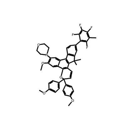 COc1ccc(C2(c3ccc(OC)cc3)C=Cc3c4c(c5cc(N6CCOCC6)c(OC)cc5c3O2)-c2ccc(-c3c(F)c(C)c(F)c(F)c3F)cc2C4(C)C)cc1